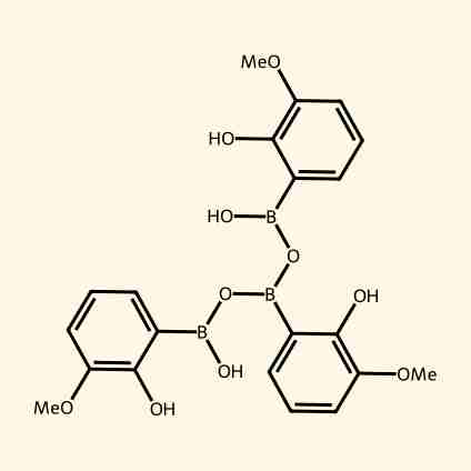 COc1cccc(B(O)OB(OB(O)c2cccc(OC)c2O)c2cccc(OC)c2O)c1O